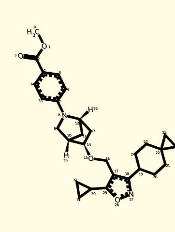 COC(=O)c1ccc(N2C[C@@H]3C[C@H]2C[C@H]3OCc2c(C3CCC4(CC3)CC4)noc2C2CC2)cc1